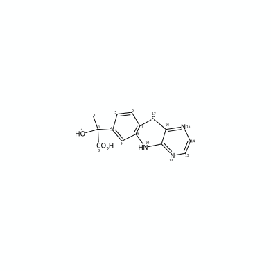 CC(O)(C(=O)O)c1ccc2c(c1)Nc1nccnc1S2